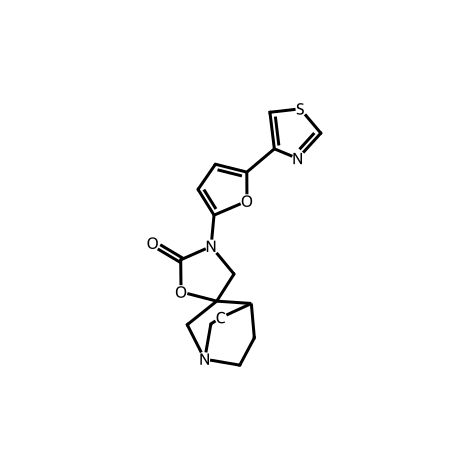 O=C1OC2(CN3CCC2CC3)CN1c1ccc(-c2cscn2)o1